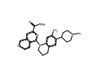 CNC(=O)c1cc2cnccc2c(N2CCCc3cc(C4CCN(C(C)=O)CC4)c(C)cc32)n1